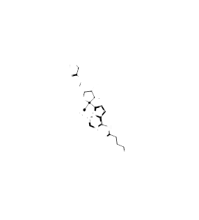 CCCCC(=O)Nc1ncnn2c(C3(C#N)O[C@H](COC(=O)CC)[C@@H](O)[C@H]3O)ccc12